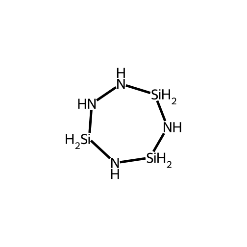 N1N[SiH2]N[SiH2]N[SiH2]1